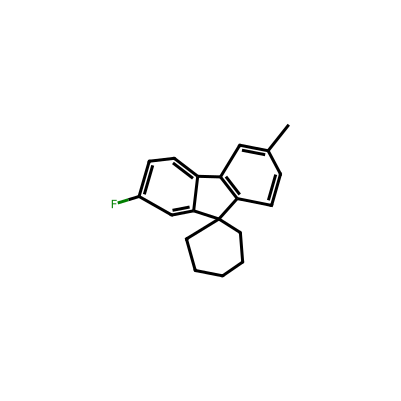 Cc1ccc2c(c1)-c1ccc(F)cc1C21CCCCC1